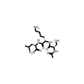 CC(=O)N[C@H](CO)C(=O)N[C@@H](CCCCN)C(=O)N[C@H](CC(C)C)C(N)=O